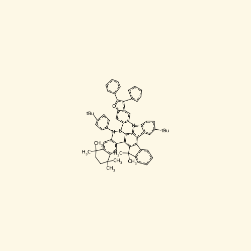 CC(C)(C)c1ccc(N2B3c4cc5oc(-c6ccccc6)c(-c6ccccc6)c5cc4-n4c5ccc(C(C)(C)C)cc5c5c6c(c(c3c54)-c3cc4c(cc32)C(C)(C)CCC4(C)C)C(C)(C)c2ccccc2-6)cc1